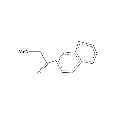 CNCC(=O)c1ccc2ccccc2c1